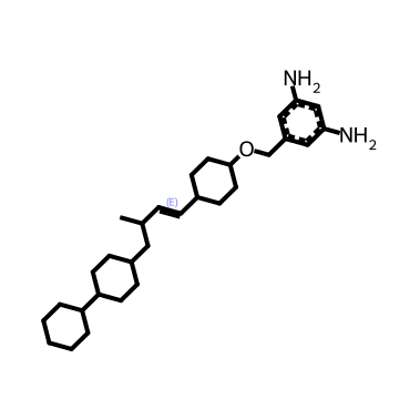 CC(/C=C/C1CCC(OCc2cc(N)cc(N)c2)CC1)CC1CCC(C2CCCCC2)CC1